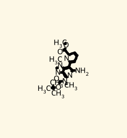 COC(=O)c1cccc(-c2c(N)nc(N(C)C(=O)OC(C)(C)C)c3ncn(C)c23)n1